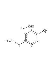 CC=O.CCCCCCCCc1ccc(O)cc1